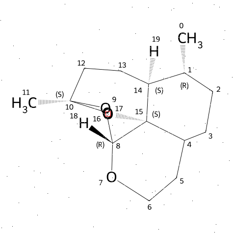 C[C@@H]1CCC2CCO[C@@H]3O[C@]4(C)CC[C@@H]1[C@@]23OO4